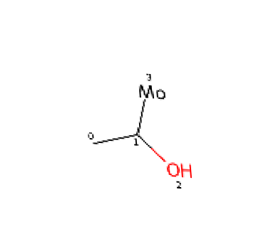 C[CH](O)[Mo]